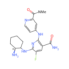 CNC(=O)c1cc(Nc2nc(NC3CCCC[C@@H]3N)c(F)cc2C(N)=O)ccn1